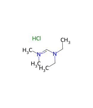 CCN(C=[N+](C)C)CC.Cl